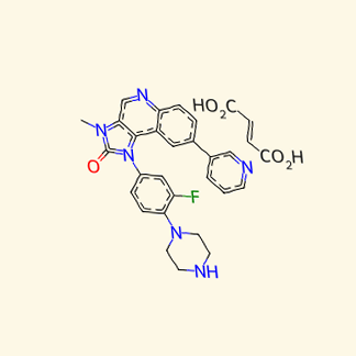 Cn1c(=O)n(-c2ccc(N3CCNCC3)c(F)c2)c2c3cc(-c4cccnc4)ccc3ncc21.O=C(O)C=CC(=O)O